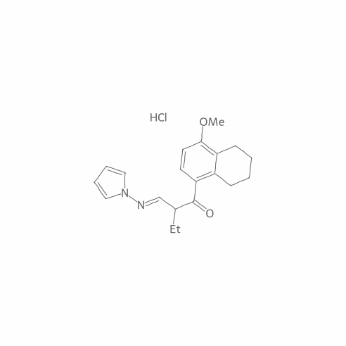 CCC(C=Nn1cccc1)C(=O)c1ccc(OC)c2c1CCCC2.Cl